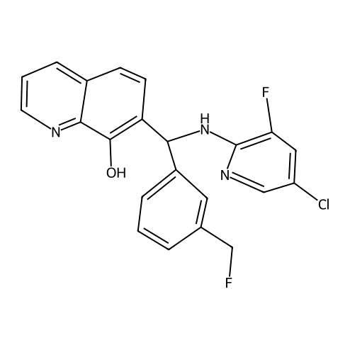 Oc1c(C(Nc2ncc(Cl)cc2F)c2cccc(CF)c2)ccc2cccnc12